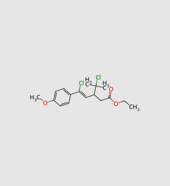 CCOC(=O)CC(C=C(Cl)c1ccc(OC)cc1)C(C)(C)Cl